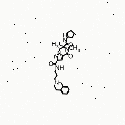 CN1C(=O)c2cc(C(=O)NCCCN3CCc4ccccc4C3)nn2CC1(C)C(=O)NC1CCCC1